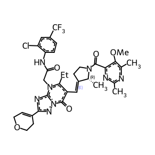 CCc1c(/C=C2\CCN(C(=O)c3nc(C)nc(C)c3OC)[C@@H]2C)c(=O)n2nc(C3=CCOCC3)nc2n1CC(=O)Nc1ccc(C(F)(F)F)cc1Cl